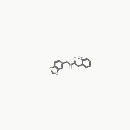 O=C(Cc1ccccc1O)NCc1ccc2c(c1)OCO2